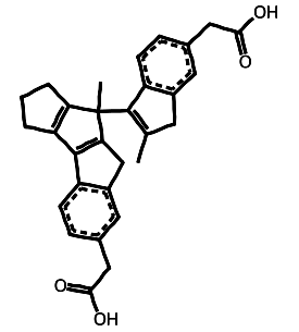 CC1=C(C2(C)C3=C(CCC3)C3=C2Cc2cc(CC(=O)O)ccc23)c2ccc(CC(=O)O)cc2C1